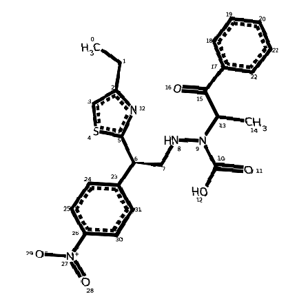 CCc1csc([C@@H](CNN(C(=O)O)C(C)C(=O)c2ccccc2)c2ccc([N+](=O)[O-])cc2)n1